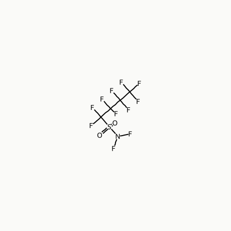 O=S(=O)(N(F)F)C(F)(F)C(F)(F)C(F)(F)C(F)(F)F